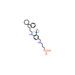 O=[PH](O)OCCCNCc1ccc(NCCCCC2(c3ccccc3)CCCCC2)c(C(F)(F)C(F)(F)F)c1